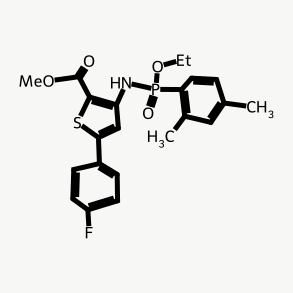 CCOP(=O)(Nc1cc(-c2ccc(F)cc2)sc1C(=O)OC)c1ccc(C)cc1C